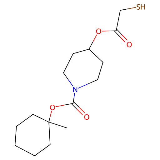 CC1(OC(=O)N2CCC(OC(=O)CS)CC2)CCCCC1